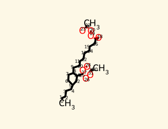 CCCCCC1CCC(CCCCCCCCC(=O)OOC(C)=O)C(C(=O)OOC(C)=O)C1